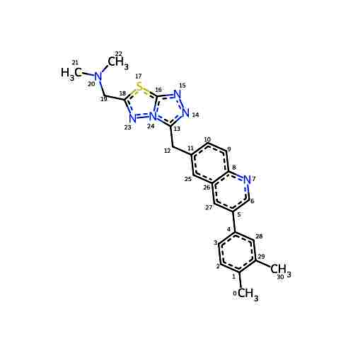 Cc1ccc(-c2cnc3ccc(Cc4nnc5sc(CN(C)C)nn45)cc3c2)cc1C